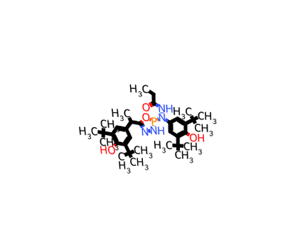 CCC(=O)NN(c1cc(C(C)(C)C)c(O)c(C(C)(C)C)c1)P1NN=C(C(C)c2cc(C(C)(C)C)c(O)c(C(C)(C)C)c2)O1